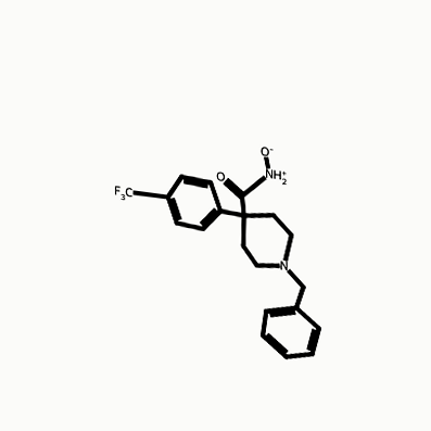 O=C([NH2+][O-])C1(c2ccc(C(F)(F)F)cc2)CCN(Cc2ccccc2)CC1